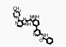 CN1CCN(c2nccc3[nH]c(-c4n[nH]c5ccc(-c6cncc(NC(=O)c7ccccc7)c6)cc45)nc23)CC1